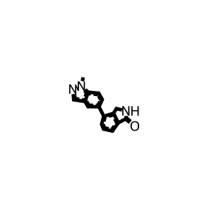 Cn1ncc2cc(-c3cccc4c3CNC4=O)ccc21